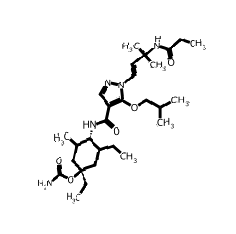 CCC(=O)NC(C)(C)/C=C/n1ncc(C(=O)N[C@H]2C(C)C[C@@](CC)(OC(N)=O)CC2CC)c1OCC(C)C